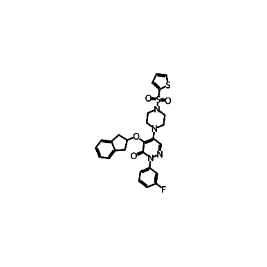 O=c1c(OC2Cc3ccccc3C2)c(N2CCN(S(=O)(=O)c3cccs3)CC2)cnn1-c1cccc(F)c1